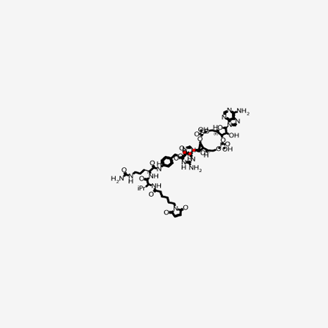 CC(C)C(NC(=O)CCCCCN1C(=O)C=CC1=O)C(=O)N[C@@H](CCCNC(N)=O)C(=O)Nc1ccc(COC(=O)NCCC2C3OP(=O)(O)OC[C@H]4O[C@@H](n5cnc6c(N)ncnc65)C(O)C4OP(=O)(O)OC[C@H]2O[C@H]3n2cnc3c(=O)[nH]c(N)nc32)cc1